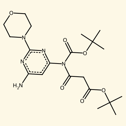 CC(C)(C)OC(=O)CC(=O)N(C(=O)OC(C)(C)C)c1cc(N)nc(N2CCOCC2)n1